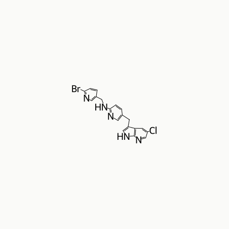 Clc1cnc2[nH]cc(Cc3ccc(NCc4ccc(Br)nc4)nc3)c2c1